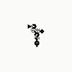 CC12CCC(c3cn4cc(C(=O)Nc5cccn(C6CC6)c5=O)c(OC5CCC5)cc4n3)(CC1)CO2